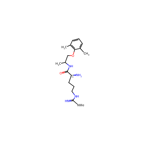 CNC(=N)NCCC[C@H](N)C(=O)NC(C)COc1c(C)cccc1C